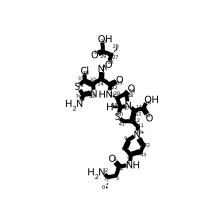 C[C@H](N)CC(=O)Nc1cc[n+](CC2=C(C(=O)O)N3C(=O)[C@@H](NC(=O)/C(=N\O[C@@H](C)C(=O)O)c4nc(N)sc4Cl)[C@H]3SC2)cc1